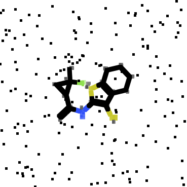 C=C(Nc1sc2c(c1S)CCCC2)C1CC1(C)F